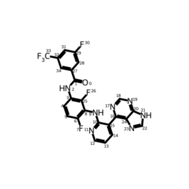 O=C(Nc1ccc(F)c(Nc2ncccc2-c2ncnc3[nH]cnc23)c1F)c1cc(F)cc(C(F)(F)F)c1